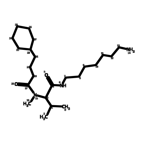 CC(C)C(C(=O)NCCCCCCCN)N(C)C(=O)CCCC1CCCCC1